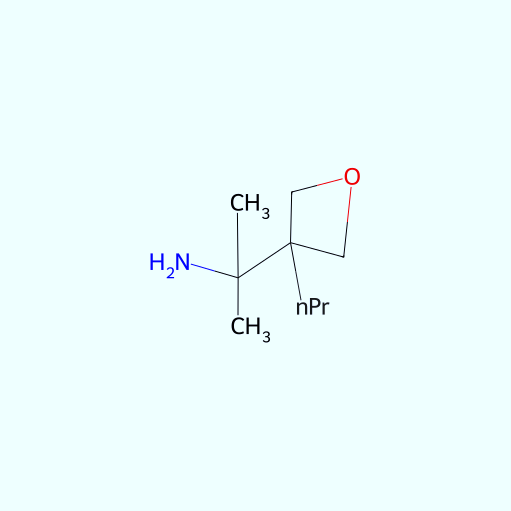 CCCC1(C(C)(C)N)COC1